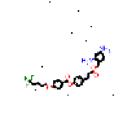 Nc1ccc(COC(=O)/C=C/c2ccc(OC(=O)c3ccc(OCCCCC(F)(F)F)cc3)cc2)c(N)c1